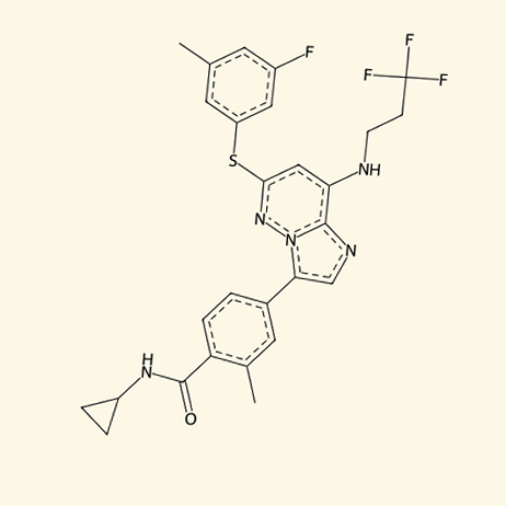 Cc1cc(F)cc(Sc2cc(NCCC(F)(F)F)c3ncc(-c4ccc(C(=O)NC5CC5)c(C)c4)n3n2)c1